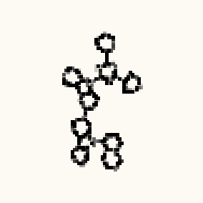 c1ccc(-c2nc(-c3ccccc3)nc(-n3c4ccccc4c4cc(-c5ccc6c7ccccc7n(-c7cccc8ccccc78)c6c5)ccc43)n2)cc1